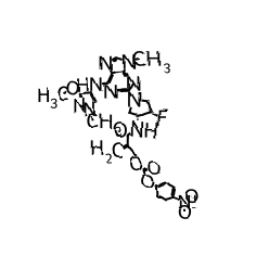 C=C(COC(=O)Oc1ccc([N+](=O)[O-])cc1)C(=O)N[C@@H]1CN(c2nc(Nc3cn(C)nc3OC)c3ncn(C)c3n2)C[C@H]1F